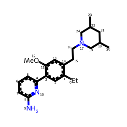 CCc1cc(-c2cccc(N)n2)c(OC)cc1CCN1CC(C)CC(C)C1